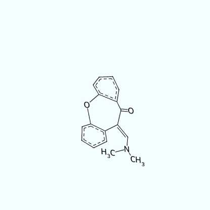 CN(C)/C=C1/C(=O)c2ccccc2Oc2ccccc21